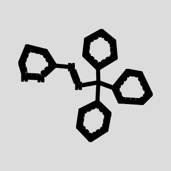 c1ccc(C(N=Nc2cccnn2)(c2ccccc2)c2ccccc2)cc1